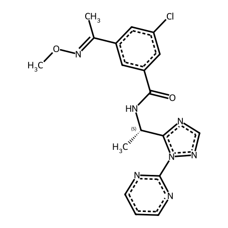 CON=C(C)c1cc(Cl)cc(C(=O)N[C@@H](C)c2ncnn2-c2ncccn2)c1